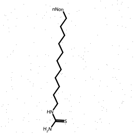 CCCCCCCCCCCCCCCCCCCCNC(N)=S